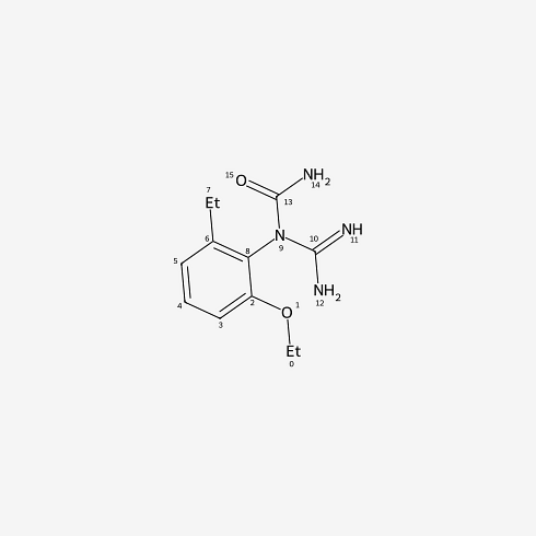 CCOc1cccc(CC)c1N(C(=N)N)C(N)=O